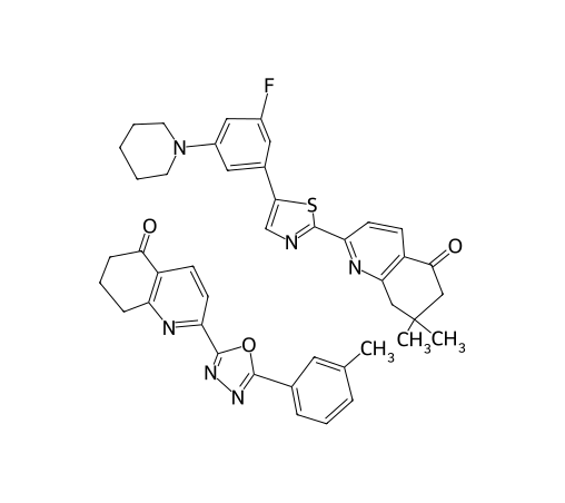 CC1(C)CC(=O)c2ccc(-c3ncc(-c4cc(F)cc(N5CCCCC5)c4)s3)nc2C1.Cc1cccc(-c2nnc(-c3ccc4c(n3)CCCC4=O)o2)c1